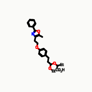 CCOC(CCc1ccc(OCCc2nc(-c3ccccc3)oc2C)cc1)OC(CC)C(=O)O